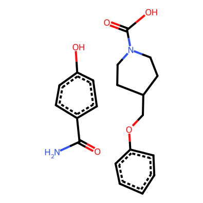 NC(=O)c1ccc(O)cc1.O=C(O)N1CCC(COc2ccccc2)CC1